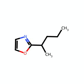 CCCC(C)c1ncco1